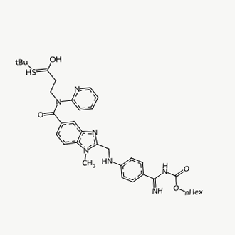 CCCCCCOC(=O)NC(=N)c1ccc(NCc2nc3cc(C(=O)N(CCC(O)=[SH]C(C)(C)C)c4ccccn4)ccc3n2C)cc1